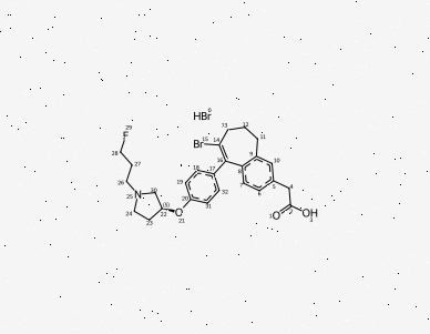 Br.O=C(O)Cc1ccc2c(c1)CCCC(Br)=C2c1ccc(O[C@H]2CCN(CCCF)C2)cc1